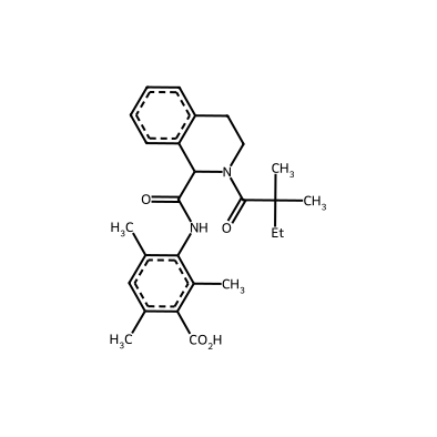 CCC(C)(C)C(=O)N1CCc2ccccc2C1C(=O)Nc1c(C)cc(C)c(C(=O)O)c1C